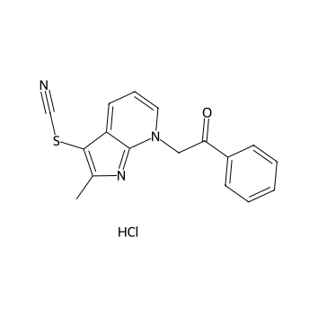 Cc1nc2n(CC(=O)c3ccccc3)cccc-2c1SC#N.Cl